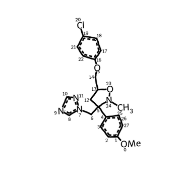 COc1ccc(C2(Cn3cncn3)CC(COc3ccc(Cl)cc3)ON2C)cc1